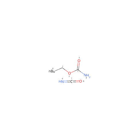 CCCCCOC(N)=O.N=C=O